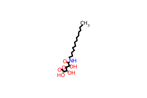 CCCCCCCCCCCCCCCNC(=O)[C@H](O)[C@H]1OC(=O)[C@@H](O)[C@H]1O